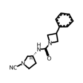 N#CN1CC[C@@H](NC(=O)N2CC(c3ccccc3)C2)C1